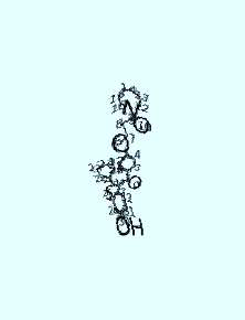 O=C(c1ccc(OCCC(=O)N2CCCCC2)cc1)c1c(C2CCCC2)sc2cc(O)ccc12